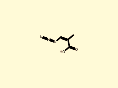 CC(=CN=[N+]=[N-])C(=O)O